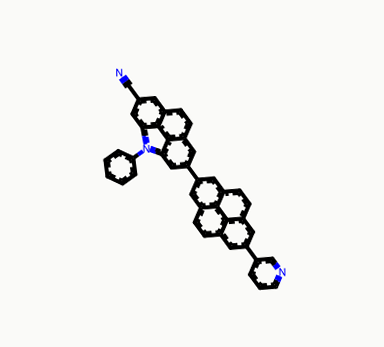 N#Cc1cc2ccc3cc(-c4cc5ccc6cc(-c7cccnc7)cc7ccc(c4)c5c67)cc4c3c2c(c1)n4-c1ccccc1